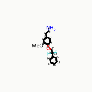 COc1cc(CCN)ccc1OCC(F)(F)c1ccccc1